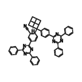 N#Cc1cc(-c2nc(-c3ccccc3)nc(-c3ccccc3)n2)ccc1C1(c2ccc(-c3nc(-c4ccccc4)nc(-c4ccccc4)n3)cc2)C2CC3CC4C[C@H]1C342